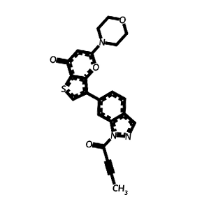 CC#CC(=O)n1ncc2ccc(-c3csc4c(=O)cc(N5CCOCC5)oc34)cc21